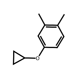 Cc1ccc(OC2CC2)cc1C